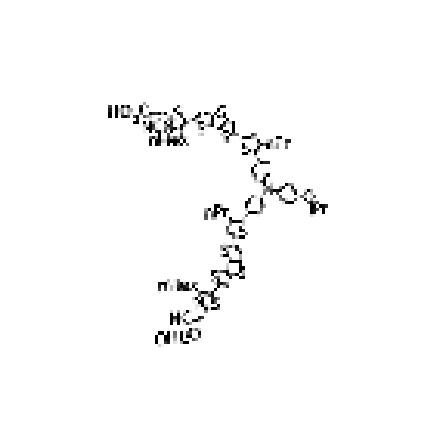 [C-]#[N+]/C(=C\c1nc(CCCCCC)c(-c2cc3sc4cc(-c5cc(CCC)c(-c6ccc(N(c7ccc(OC(C)C)cc7)c7ccc(-c8sc(-c9cc%10sc%11cc(-c%12sc(/C=C(\C#N)OC=O)nc%12CCCCCC)sc%11c%10s9)cc8CCC)cc7)cc6)s5)sc4c3s2)s1)C(=O)O